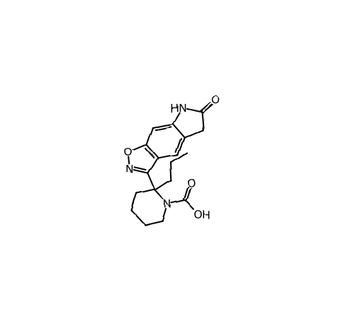 CCCC1(c2noc3cc4c(cc23)CC(=O)N4)CCCCN1C(=O)O